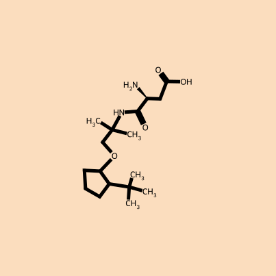 CC(C)(COC1CCCC1C(C)(C)C)NC(=O)[C@@H](N)CC(=O)O